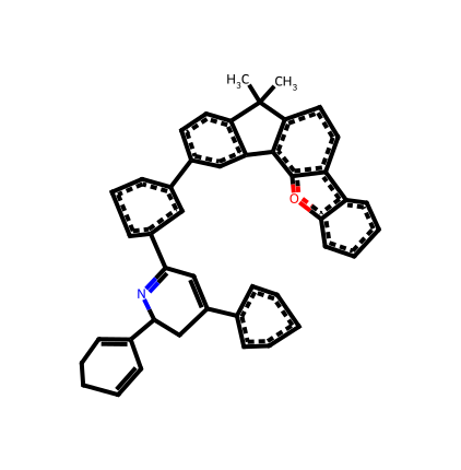 CC1(C)c2ccc(-c3cccc(C4=NC(C5=CCCC=C5)CC(c5ccccc5)=C4)c3)cc2-c2c1ccc1c2oc2ccccc21